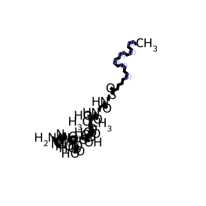 CC/C=C\C/C=C\C/C=C\C/C=C\C/C=C\C/C=C\CCCCC(=O)SCCNC(=O)CCNC(=O)[C@H](O)C(C)(C)COP(=O)(O)OP(=O)(O)OC[C@H]1O[C@@H](n2cnc3c(N)ncnc32)[C@H](O)[C@@H]1OP(=O)(O)O